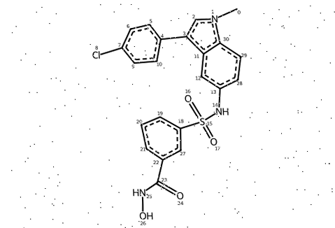 Cn1cc(-c2ccc(Cl)cc2)c2cc(NS(=O)(=O)c3cccc(C(=O)NO)c3)ccc21